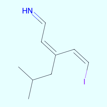 CC(C)CC(/C=C\I)=C/C=N